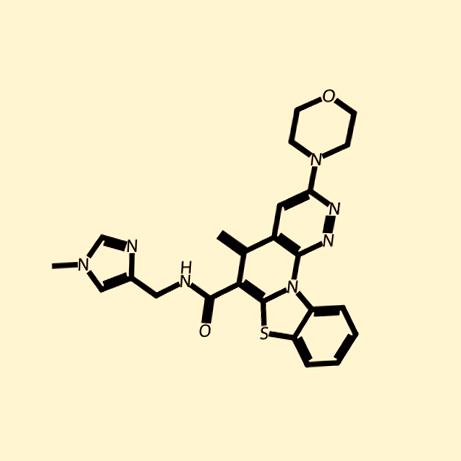 C=C1C(C(=O)NCc2cn(C)cn2)=C2Sc3ccccc3N2c2nnc(N3CCOCC3)cc21